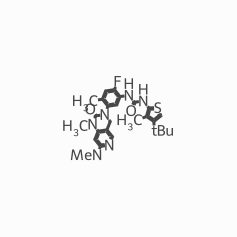 CNc1cc2c(cn1)CN(c1cc(NC(=O)Nc3scc(C(C)(C)C)c3C)c(F)cc1C)C(=O)N2C